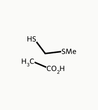 CC(=O)O.CSCS